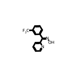 O/N=C(/c1cccc(C(F)(F)F)c1)c1ccccn1